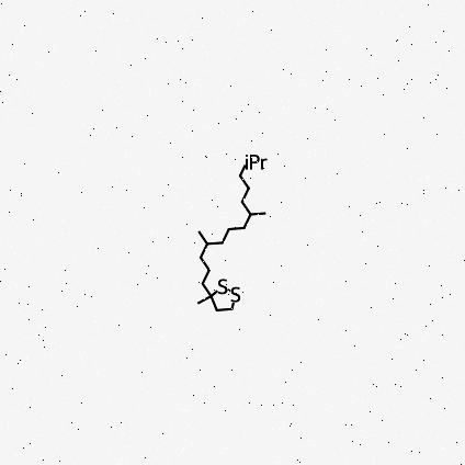 CC(C)CCCC(C)CCCC(C)CCCC1(C)CCSS1